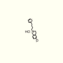 COc1ccc2c(c1)CCN(CCCCc1cccs1)C2.Cl